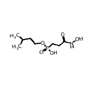 CC(C)CCOP(=O)(O)CCC(=O)NO